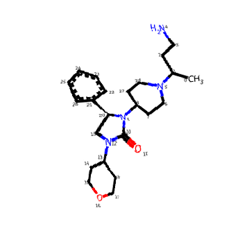 CC(CCN)N1CCC(N2C(=O)N(C3CCOCC3)C[C@H]2c2ccccc2)CC1